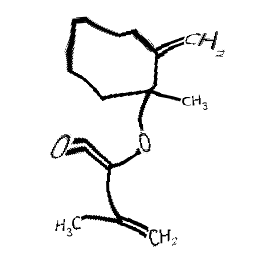 C=C(C)C(=O)OC1(C)CCCCC1=C